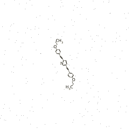 CCCOc1ccc(C#Cc2ccc(C#Cc3ccc(OCCC)cc3)nc2)cc1